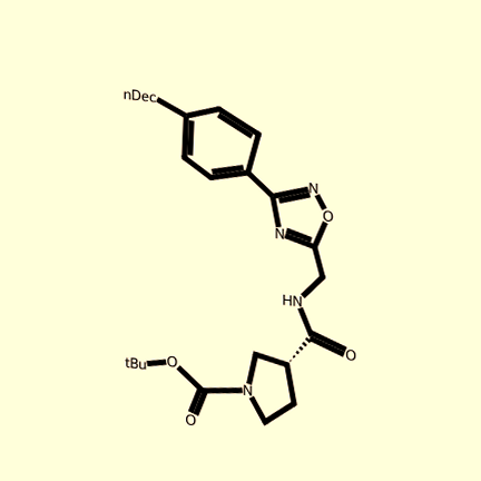 CCCCCCCCCCc1ccc(-c2noc(CNC(=O)[C@@H]3CCN(C(=O)OC(C)(C)C)C3)n2)cc1